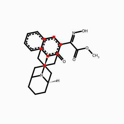 COC(=O)C(=NO)c1nc2ccccc2n([C@@H]2CC3CCC[C@H](C2)N3C2CC3CCCC(C3)C2)c1=O